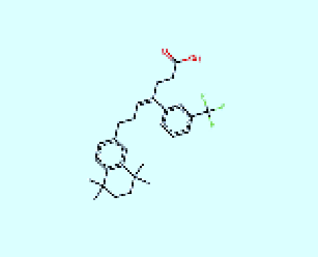 CC1(C)CCC(C)(C)c2cc(CCC=C(CCC(=O)O)c3cccc(C(F)(F)F)c3)ccc21